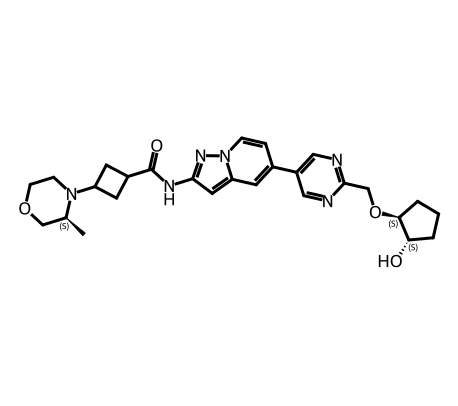 C[C@H]1COCCN1C1CC(C(=O)Nc2cc3cc(-c4cnc(CO[C@H]5CCC[C@@H]5O)nc4)ccn3n2)C1